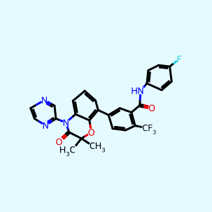 CC1(C)Oc2c(-c3ccc(C(F)(F)F)c(C(=O)Nc4ccc(F)cc4)c3)cccc2N(c2cnccn2)C1=O